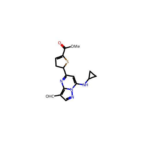 COC(=O)C1=CCC(c2cc(NC3CC3)n3ncc(C=O)c3n2)S1